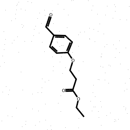 CCOC(=O)CCOc1ccc(C=O)cc1